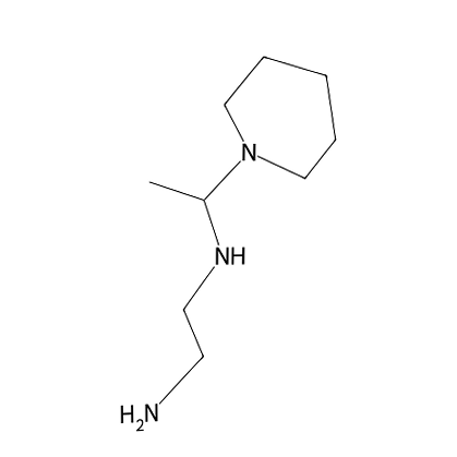 CC(NCCN)N1CCCCC1